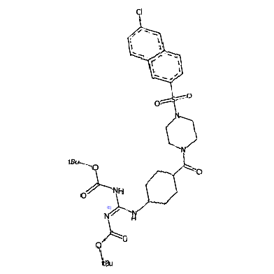 CC(C)(C)OC(=O)/N=C(/NC(=O)OC(C)(C)C)NC1CCC(C(=O)N2CCN(S(=O)(=O)c3ccc4cc(Cl)ccc4c3)CC2)CC1